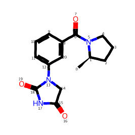 C[C@@H]1CCCN1C(=O)c1cccc(N2CC(=O)NC2=O)c1